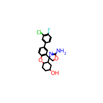 NC1=NC2(CO1)c1cc(-c3ccc(F)c(Cl)c3)ccc1OC1CCC(O)CC12